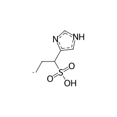 [CH2]CC(c1c[nH]cn1)S(=O)(=O)O